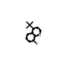 CC(C)(C)c1ccnc2c(F)cccc12